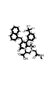 CNC(=O)CN1CC(C(=O)O)n2c(c(-c3cccc(C(F)(F)F)c3)c(Cc3cccc4ccccc34)cc2=O)S1(=O)=O